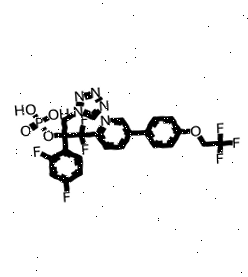 O=P(O)(O)OC(Cn1cnnn1)(c1ccc(F)cc1F)C(F)(F)c1ccc(-c2ccc(OCC(F)(F)F)cc2)cn1